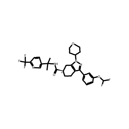 CC(C)(NC(=O)[C@@H]1CCc2c(-c3cccc(OC(F)F)c3)nn(C3CCOCC3)c2C1)c1ccc(C(F)(F)F)nc1